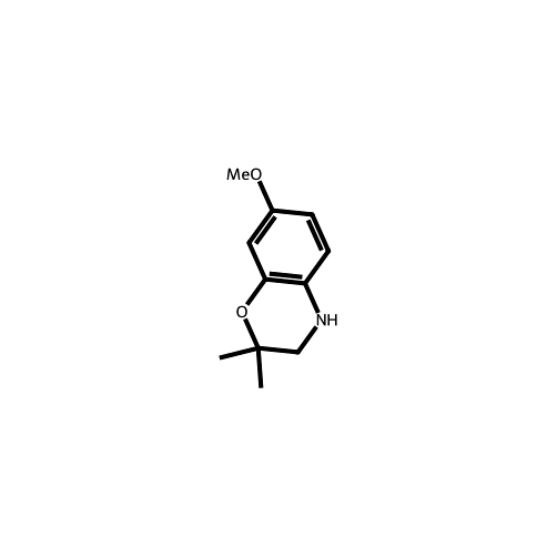 COc1ccc2c(c1)OC(C)(C)CN2